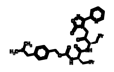 CC(C)C[C@H](NC(=O)[C@H](CC(C)C)NC(=O)OCc1ccc(CN(C)C)cc1)C(=O)Cn1c(-c2ccccn2)noc1=O